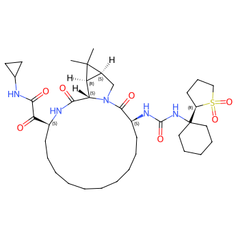 CC1(C)[C@@H]2[C@H]3C(=O)N[C@H](C(=O)C(=O)NC4CC4)CCCCCCCCCC[C@H](NC(=O)NC4([C@H]5CCCS5(=O)=O)CCCCC4)C(=O)N3C[C@@H]21